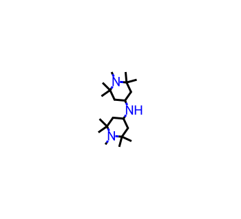 CN1C(C)(C)CC(NC2CC(C)(C)N(C)C(C)(C)C2)CC1(C)C